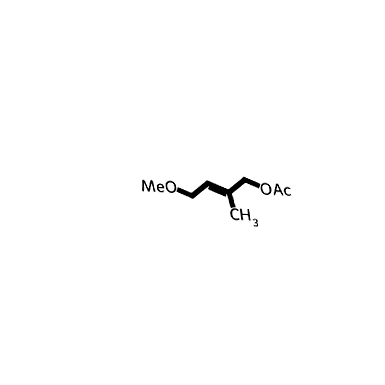 COC/C=C(\C)COC(C)=O